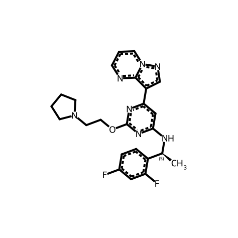 C[C@H](Nc1cc(-c2cnn3cccnc23)nc(OCCN2CCCC2)n1)c1ccc(F)cc1F